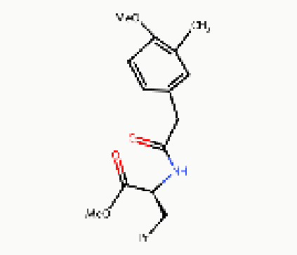 COC(=O)[C@H](CC(C)C)NC(=O)Cc1ccc(OC)c(C)c1